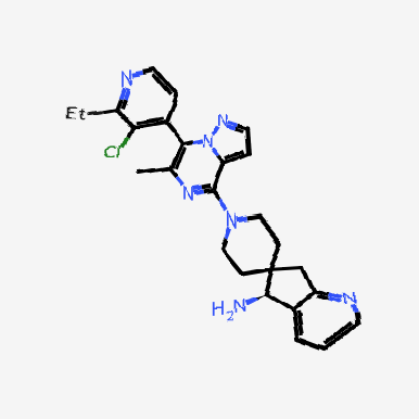 CCc1nccc(-c2c(C)nc(N3CCC4(CC3)Cc3ncccc3[C@H]4N)c3ccnn23)c1Cl